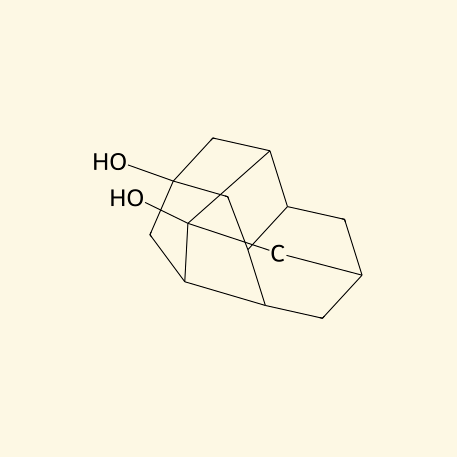 OC12CC3C4CC5CC3C(C1)C(O)(C5)C4C2